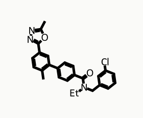 CCN(Cc1cccc(Cl)c1)C(=O)c1ccc(-c2cc(-c3nnc(C)o3)ccc2C)cc1